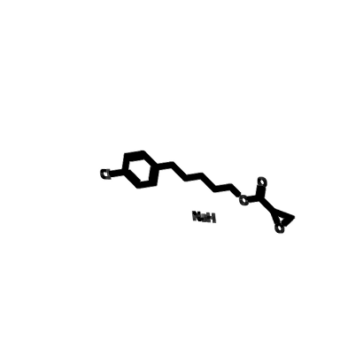 O=C(OCCCCCc1ccc(Cl)cc1)C1CO1.[NaH]